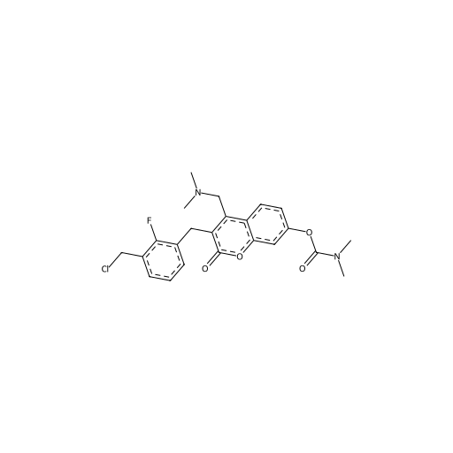 CN(C)Cc1c(Cc2cccc(CCl)c2F)c(=O)oc2cc(OC(=O)N(C)C)ccc12